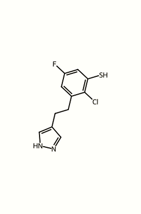 Fc1cc(S)c(Cl)c(CCc2cn[nH]c2)c1